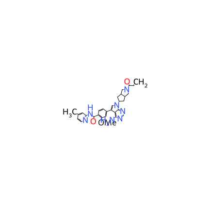 C=CC(=O)N1CC2CC(n3cc(-c4ccc(C(=O)Nc5cc(C)ccn5)c(OC)c4)c4c(N)ncnc43)CC2C1